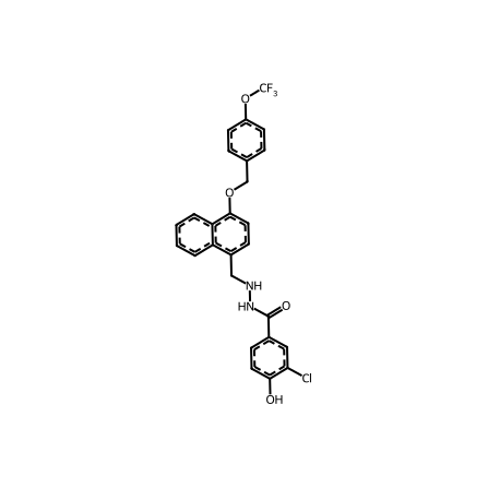 O=C(NNCc1ccc(OCc2ccc(OC(F)(F)F)cc2)c2ccccc12)c1ccc(O)c(Cl)c1